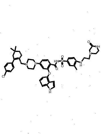 Cc1cc(S(=O)(=O)NC(=O)c2ccc(N3CCN(CC4=C(c5ccc(Cl)cc5)CC(C)(C)CC4)CC3)cc2Oc2cccc3[nH]ccc23)ccc1NCCN1CCNC(=O)C1